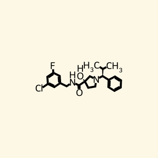 CC(C)[C@@H](c1ccccc1)N1CC[C@@](O)(C(=O)NCc2cc(F)cc(Cl)c2)C1